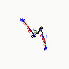 CC1(C)/C(=C\C=C2/CCC(/C=C/C3N(CCCCCC(=O)NCCOCCOCCOCCN=[N+]=[N-])c4ccccc4C3(C)C)=C2Cl)N(CCCCCC(=O)NCCOCCOCCOCCN=[N+]=[N-])c2ccccc21